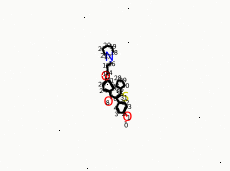 COc1ccc2c(C(=O)c3ccc(OCCCN4CCCCC4)cc3)c(C3CCCC3)sc2c1